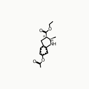 CCOC(=O)[C@@H]1Cc2ccc(OC(C)=O)cc2N[C@@H]1C